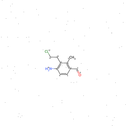 Cc1c(C=O)ccc(N)c1CCCl